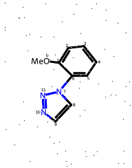 COc1ccccc1-n1ccnn1